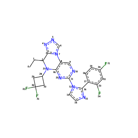 CCC1c2nncn2-c2cnc(-n3ccnc3-c3ccc(F)cc3F)nc2N1C1CC(F)(F)C1